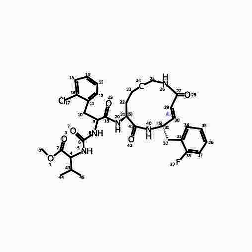 COC(=O)C(NC(=O)NC(Cc1ccccc1Cl)C(=O)N[C@H]1CCCCNC(=O)/C=C/[C@H](Cc2ccccc2F)NC1=O)C(C)C